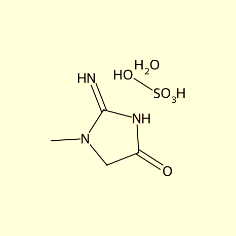 CN1CC(=O)NC1=N.O.O=S(=O)(O)O